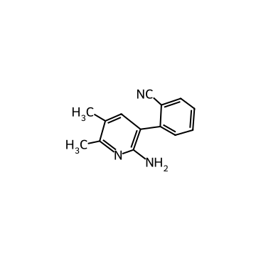 Cc1cc(-c2ccccc2C#N)c(N)nc1C